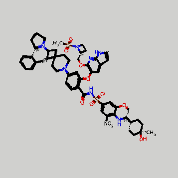 CC(C)c1ccccc1[C@@H]1CCCN1C1CC2(CCN(c3ccc(C(=O)NS(=O)(=O)c4cc5c(c([N+](=O)[O-])c4)N[C@@H]([C@H]4CC[C@](C)(O)CC4)CO5)c(Oc4cc5cc[nH]c5nc4OC[C@@H]4CCN4S(C)(=O)=O)c3)CC2)C1